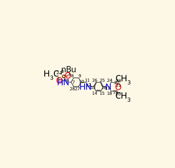 CCCCC(C)S(=O)(=O)NC1CCC(CNc2ccc(N3CC(C)OC(C)C3)cc2)CC1